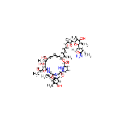 CC[C@@H](C[C@H](C)[C@H]1O[C@@H](C[C@H](O)[C@@H](C)CC/C=C/C=C(\C)[C@@H]2C/C=C/C=C/[C@H](O)[C@H](C)[C@@H](O)[C@@H](CCC(C)=O)C(=O)N[C@@H](C(C)C)C(=O)N[C@@H](Cc3ccc(C)c(O)c3)C(=O)N3CCCC(N3)C(=O)O2)[C@H](C)[C@H](O)[C@@H]1C)C(N)=O